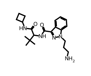 CC(C)(C)C(NC(=O)c1nn(CCCN)c2ccccc12)C(=O)NC1CCC1